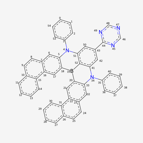 c1ccc(N2c3cc4ccc5ccccc5c4cc3B3c4cc5c(ccc6ccccc65)cc4N(c4ccccc4)c4cc(-c5ncncn5)cc2c43)cc1